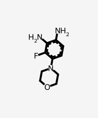 Nc1ccc(N2CCOCC2)c(F)c1N